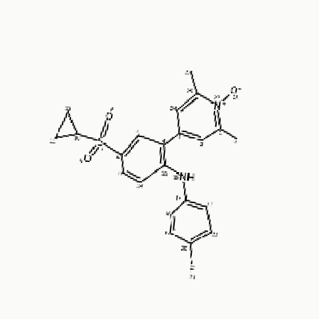 Cc1cc(-c2cc(S(=O)(=O)C3CC3)ccc2Nc2ccc(F)cc2)cc(C)[n+]1[O-]